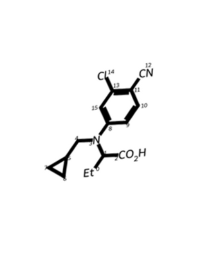 CCC(C(=O)O)N(CC1CC1)c1ccc(C#N)c(Cl)c1